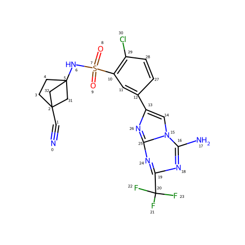 N#CC12CCC(NS(=O)(=O)c3cc(-c4cn5c(N)nc(C(F)(F)F)nc5n4)ccc3Cl)(C1)C2